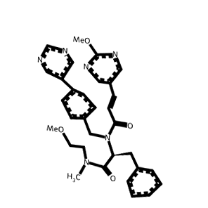 COCCN(C)C(=O)[C@H](Cc1ccccc1)N(Cc1ccc(-c2cncnc2)cc1)C(=O)/C=C/c1cnc(OC)nc1